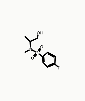 CC(CO)N(C)S(=O)(=O)c1ccc(F)cc1